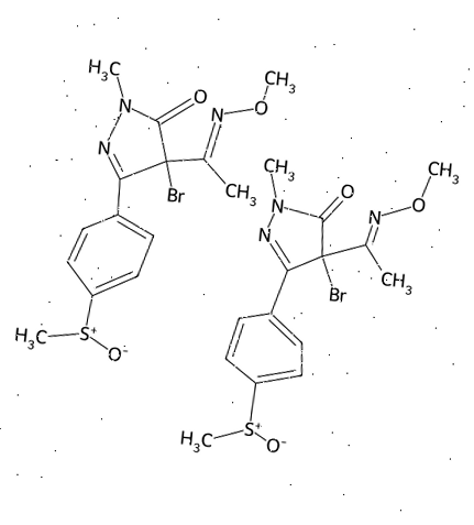 CON=C(C)C1(Br)C(=O)N(C)N=C1c1ccc([S+](C)[O-])cc1.CON=C(C)C1(Br)C(=O)N(C)N=C1c1ccc([S+](C)[O-])cc1